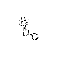 CC1(C)OB(N2C=CC=C(c3ccccc3)C2)OC1(C)C